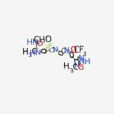 CC(CCC(=O)NC=O)Nc1ccc(C2CCN(Cc3cccc4c3CCN(Cc3ccc(-c5cn(C)c(=O)c6[nH]ncc56)cc3OC(F)(F)F)C4)CC2(F)F)cc1